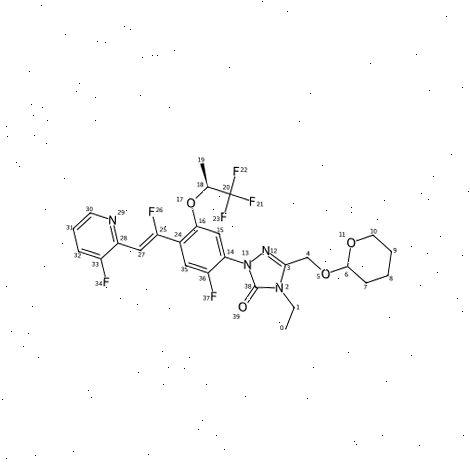 CCn1c(COC2CCCCO2)nn(-c2cc(O[C@@H](C)C(F)(F)F)c(/C(F)=C/c3ncccc3F)cc2F)c1=O